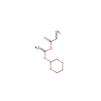 C=CC(=O)OC(=C)OC1CSCCO1